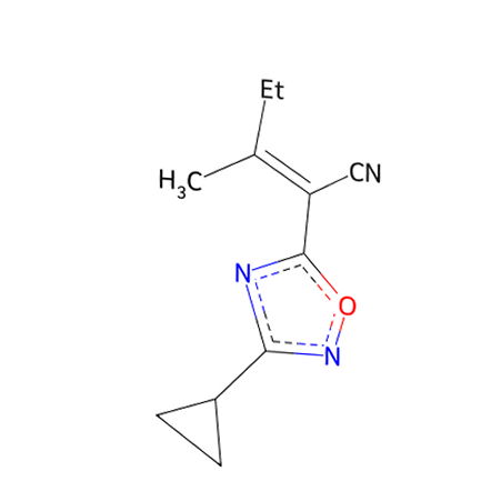 CCC(C)=C(C#N)c1nc(C2CC2)no1